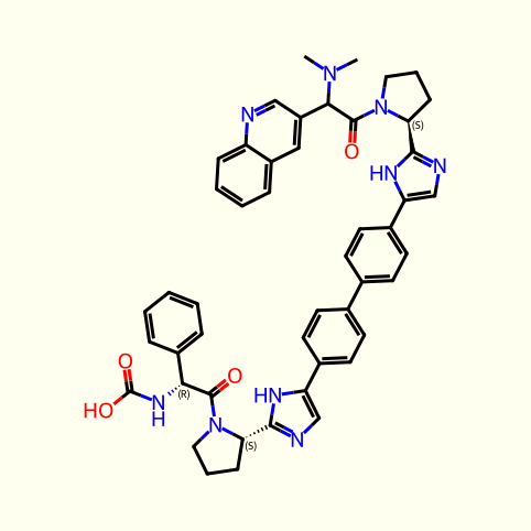 CN(C)C(C(=O)N1CCC[C@H]1c1ncc(-c2ccc(-c3ccc(-c4cnc([C@@H]5CCCN5C(=O)[C@H](NC(=O)O)c5ccccc5)[nH]4)cc3)cc2)[nH]1)c1cnc2ccccc2c1